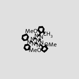 COc1cccc(C)c1C1=NC2=NC(N(c3ccccc3)c3ccccc3)=NC3=NC(c4c(OC)cccc4OC)=NC(=N1)N32